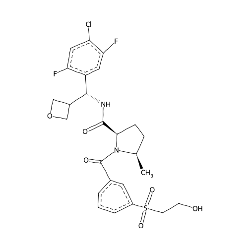 C[C@@H]1CC[C@H](C(=O)N[C@@H](c2cc(F)c(Cl)cc2F)C2COC2)N1C(=O)c1cccc(S(=O)(=O)CCO)c1